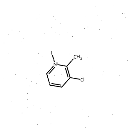 Cc1c(Cl)ccc[n+]1I